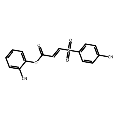 N#Cc1ccc(S(=O)(=O)/C=C/C(=O)Oc2ccccc2C#N)cc1